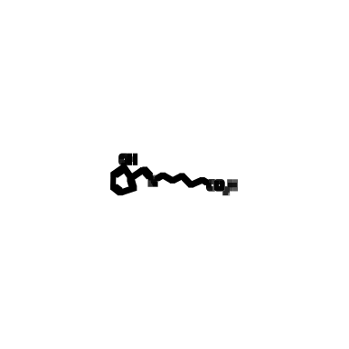 O=C(O)CCCCCN=Cc1ccccc1O